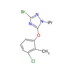 Cc1c(Cl)cccc1Oc1nc(Br)nn1C(C)C